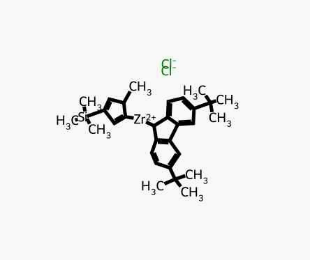 CC1C=C([Si](C)(C)C)C=[C]1[Zr+2][CH]1c2ccc(C(C)(C)C)cc2-c2cc(C(C)(C)C)ccc21.[Cl-].[Cl-]